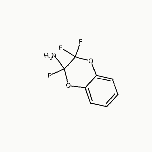 NC1(F)Oc2ccccc2OC1(F)F